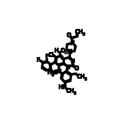 C=CC(=O)N1CCN(c2nc(=O)n(-c3c(CC)cc(NC)cc3CC)c3c4c(c(Cl)cc23)-c2c(ccc(F)c2F)CO4)[C@@H](C)C1